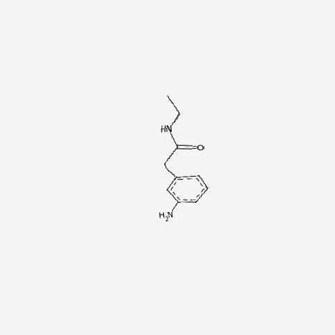 CCNC(=O)Cc1cccc(N)c1